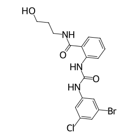 O=C(Nc1cc(Cl)cc(Br)c1)Nc1ccccc1C(=O)NCCCO